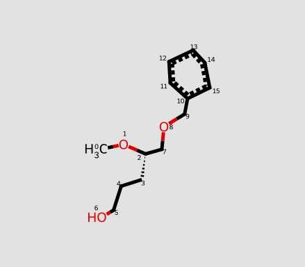 CO[C@@H](CCCO)COCc1ccccc1